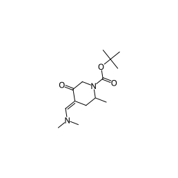 CC1C/C(=C\N(C)C)C(=O)CN1C(=O)OC(C)(C)C